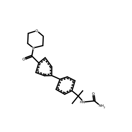 CC(C)(NC(N)=O)c1ccc(-c2ccc(C(=O)N3CCOCC3)cc2)cc1